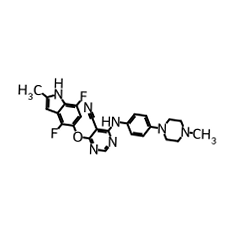 Cc1cc2c(F)c(Oc3ncnc(Nc4ccc(N5CCN(C)CC5)cc4)c3C#N)cc(F)c2[nH]1